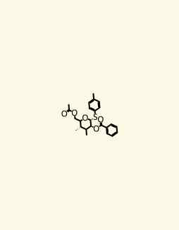 CC(=O)OCC1O[C@H](Sc2ccc(C)cc2)[C@@H](OC(=O)c2ccccc2)C(C)[C@@H]1C